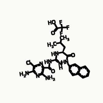 CC(C)C[C@H](NC(=N)NC(=O)c1nc(Cl)c(N)nc1N)C(=O)Nc1ccc2ccccc2c1.O=C(O)C(F)(F)F